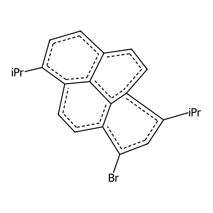 CC(C)c1ccc2ccc3c(C(C)C)cc(Br)c4ccc1c2c43